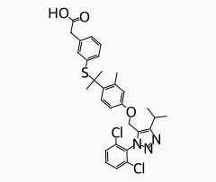 Cc1cc(OCc2c(C(C)C)nnn2-c2c(Cl)cccc2Cl)ccc1C(C)(C)Sc1cccc(CC(=O)O)c1